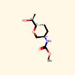 C[C@H](O)[C@@H]1CC[C@@H](NC(=O)OC(C)(C)C)CO1